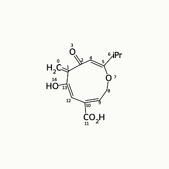 C=C1C(=O)/C=C(/C(C)C)OC/C=C(C(=O)O)\C=C/1O